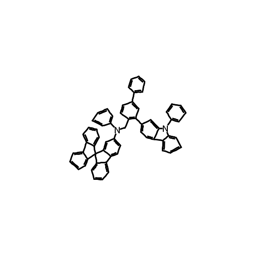 c1ccc(-c2ccc(CN(c3ccccc3)c3ccc4c(c3)C3(c5ccccc5-c5ccccc53)c3ccccc3-4)c(-c3ccc4c5ccccc5n(-c5ccccc5)c4c3)c2)cc1